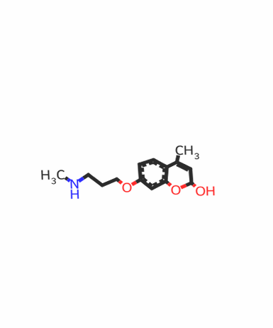 CNCCCOc1ccc2c(c1)OC(O)C=C2C